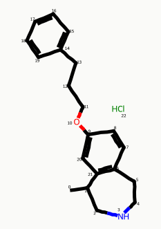 CC1CNCCc2ccc(OCCCc3ccccc3)cc21.Cl